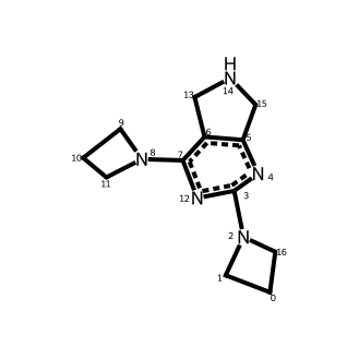 C1CN(c2nc3c(c(N4CCC4)n2)CNC3)C1